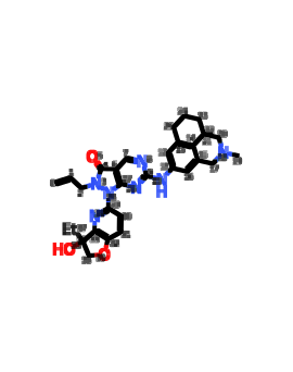 C=CCn1c(=O)c2cnc(Nc3cc4c5c(c3)CN(C)CC5(C)CCC4)nc2n1-c1ccc2c(n1)C(O)(CC)CO2